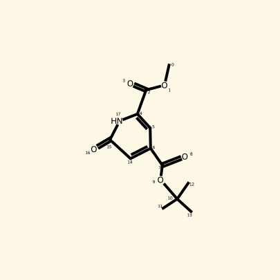 COC(=O)c1cc(C(=O)OC(C)(C)C)cc(=O)[nH]1